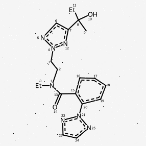 CCN(CCn1ncc(C(C)(O)CC)n1)C(=O)c1ccccc1-n1nccn1